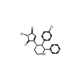 CCN1C(=O)C=C(N2CCNC(c3ccccc3)C2c2ccc(Cl)cc2)C1=O